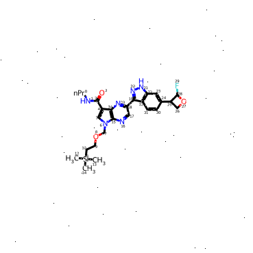 CCCNC(=O)c1cn(COCC[Si](C)(C)C)c2ncc(-c3n[nH]c4cc(C5COC5F)ccc34)nc12